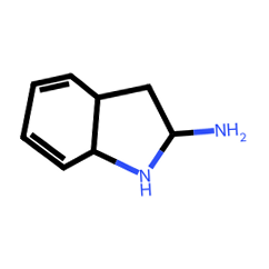 NC1CC2C=CC=CC2N1